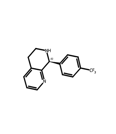 FC(F)(F)c1ccc([C@@H]2NCCc3cccnc32)cc1